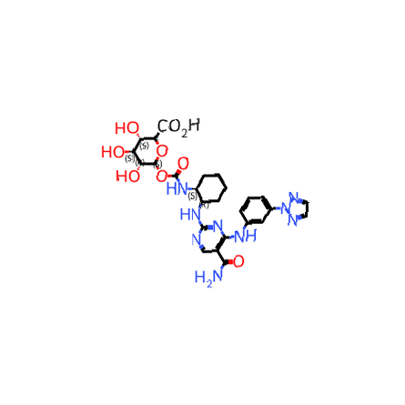 NC(=O)c1cnc(N[C@@H]2CCCC[C@@H]2NC(=O)O[C@@H]2OC(C(=O)O)[C@@H](O)[C@H](O)[C@H]2O)nc1Nc1cccc(-n2nccn2)c1